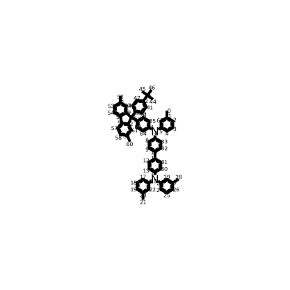 Cc1cccc(N(c2ccc(-c3ccc(N(c4cccc(C)c4)c4cccc(C)c4)cc3)cc2)c2ccc(C3(c4ccc(C(C)(C)C)cc4)c4cc(C)ccc4-c4ccc(C)cc43)cc2)c1